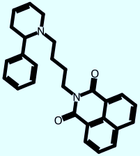 O=C1c2cccc3cccc(c23)C(=O)N1CCCCN1CC=CCC1c1ccccc1